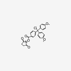 COc1ccc(C(Cl)(c2ccc(OC)cc2)c2ccc(C(=O)ON3C(=O)CCC3=O)cc2)cc1